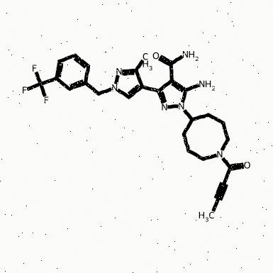 CC#CC(=O)N1CCCC(n2nc(-c3cn(Cc4cccc(C(F)(F)F)c4)nc3C)c(C(N)=O)c2N)CCC1